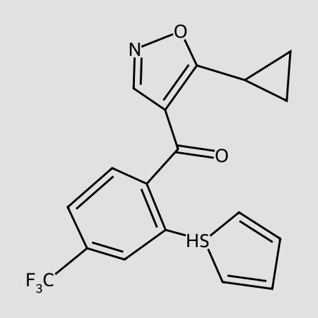 O=C(c1ccc(C(F)(F)F)cc1[SH]1C=CC=C1)c1cnoc1C1CC1